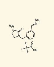 NN=Cc1cccc(CN2CC[C@H](N)C2=O)c1.O=C(O)C(F)(F)F